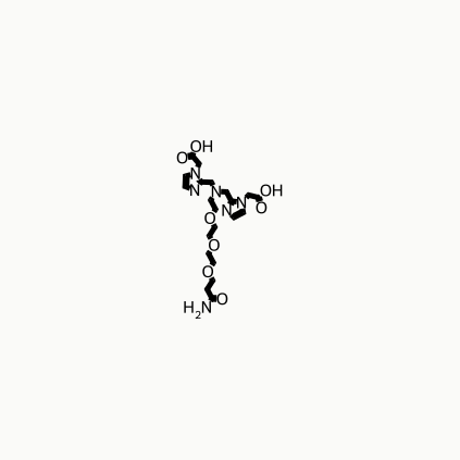 NC(=O)CCOCCOCCOCCN(Cc1nccn1CC(=O)O)Cc1nccn1CC(=O)O